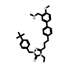 CCn1c(CCCc2ccc(-c3ccc(OC)c(CNC)c3)cc2)nn(Cc2ccc(C(C)(C)C)cc2)c1=O